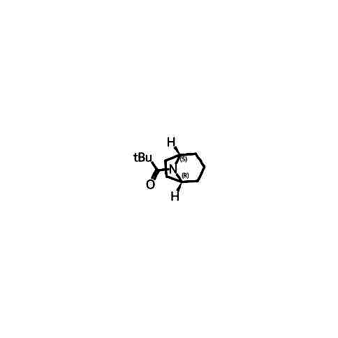 CC(C)(C)C(=O)N1[C@@H]2CCC[C@H]1CC2